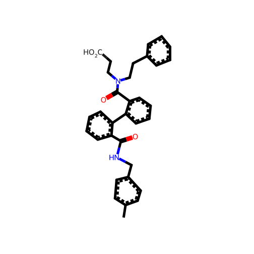 Cc1ccc(CNC(=O)c2ccccc2-c2ccccc2C(=O)N(CCC(=O)O)CCc2ccccc2)cc1